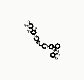 [2H]N1C(=O)CCC(c2c(F)cc(N3CCC4(CC3)CN(CC3CCN(c5ccc6c(c5)-n5c(nc(=O)c7c(Br)cccc75)C65CCCCC5)CC3)C4)cc2F)C1=O